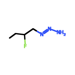 CCC(F)CN=NN